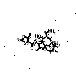 CC1=CC23CCC(C)C(C)(C)C(N)(C=C(CN)C(O)C2(O)C1OC(=O)c1sc(C)nc1C)C3=O